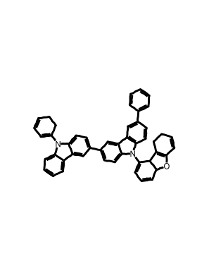 C1=CCCC(n2c3ccccc3c3cc(-c4ccc5c(c4)c4cc(-c6ccccc6)ccc4n5C4=CC=CC5OC6=C(CCC=C6)C45)ccc32)=C1